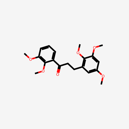 COc1cc(CCC(=O)c2cccc(OC)c2OC)c(OC)c(OC)c1